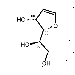 OC[C@@H](O)[C@H]1OC=C[C@H]1O